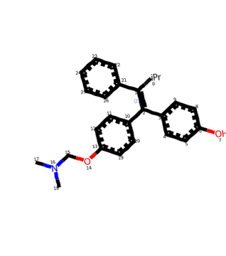 CC(C)/C(=C(\c1ccc(O)cc1)c1ccc(OCN(C)C)cc1)c1ccccc1